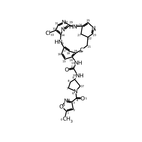 Cc1cc(C(=O)N2CC[C@H](NC(=O)Nc3ccc4cc3CCC3C=NC=C(C3)Nc3ncc(Cl)c(n3)N4)C2)no1